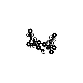 O=C1N(CCS(=O)(=O)c2ccccc2)Cc2ccccc2[C@@H]2OC(c3ccc(C4COC4)cc3)=N[C@]12Cc1ccc(-c2ccc3c(c2)CN(CCS(=O)(=O)c2ccccc2)C(=O)[C@@]2(Cc4ccccc4)N=C(c4ccccc4)O[C@@H]32)cc1